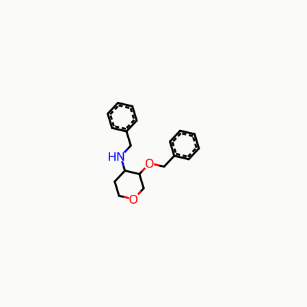 c1ccc(CNC2CCOCC2OCc2ccccc2)cc1